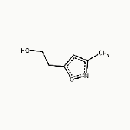 Cc1cc(CCO)on1